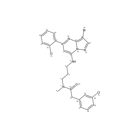 CN(CCCNc1cc(-c2ccccc2Cl)nc2c(Br)cnn12)C(=O)Cc1cccc(Cl)c1